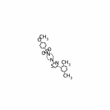 COc1ccc(S(=O)(=O)N2CCN(c3nc(-c4cc(C)ccc4C)cs3)CC2)cc1